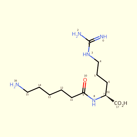 N=C(N)NCCC[C@H](NC(=O)CCCCCN)C(=O)O